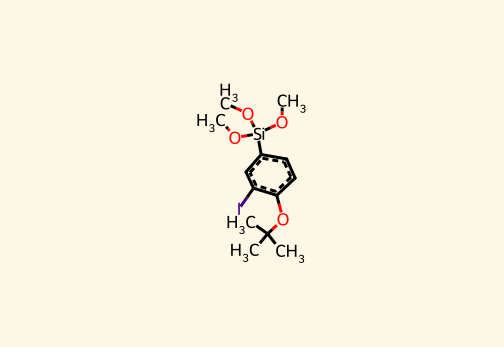 CO[Si](OC)(OC)c1ccc(OC(C)(C)C)c(I)c1